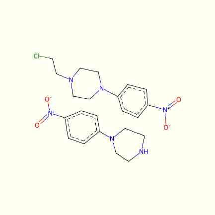 O=[N+]([O-])c1ccc(N2CCN(CCCl)CC2)cc1.O=[N+]([O-])c1ccc(N2CCNCC2)cc1